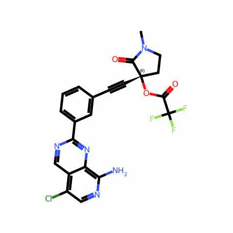 CN1CC[C@](C#Cc2cccc(-c3ncc4c(Cl)cnc(N)c4n3)c2)(OC(=O)C(F)(F)F)C1=O